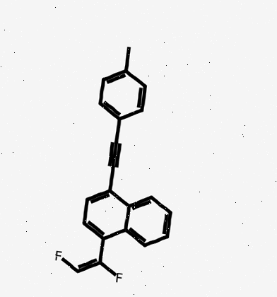 Cc1ccc(C#Cc2ccc(/C(F)=C\F)c3ccccc23)cc1